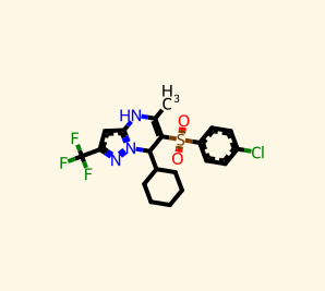 CC1=C(S(=O)(=O)c2ccc(Cl)cc2)C(C2CCCCC2)n2nc(C(F)(F)F)cc2N1